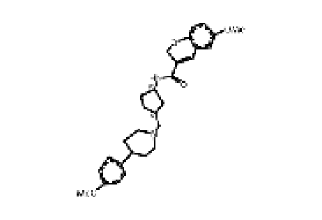 COc1ccc(C2CCN(C[C@H]3CC[C@@H](NC(=O)C4=Cc5cc(OC)ccc5OC4)C3)CC2)cc1